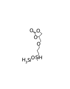 C[SiH](CCCOCC1COC(=O)O1)O[SiH3]